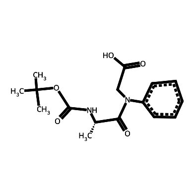 C[C@H](NC(=O)OC(C)(C)C)C(=O)N(CC(=O)O)c1ccccc1